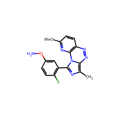 COc1ccc2nnc3c(C)nc(-c4cc(ON)ccc4F)n3c2n1